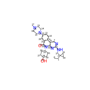 CCC1(CNc2ncc3c4ccc(N5CCN(C)CC5)cc4c(=O)n([C@H]4CC[C@H](O)CC4)c3n2)CC1